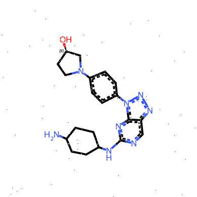 NC1CCC(Nc2ncc3nnn(-c4ccc(N5CC[C@@H](O)C5)cc4)c3n2)CC1